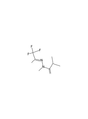 C=C(C(C)C)N(C)/N=C(\C)C(F)(F)F